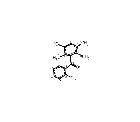 Cc1cc(C)c(C)c(C(=O)c2ccccc2F)c1C